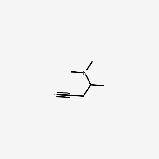 [C]#CCC(C)N(C)C